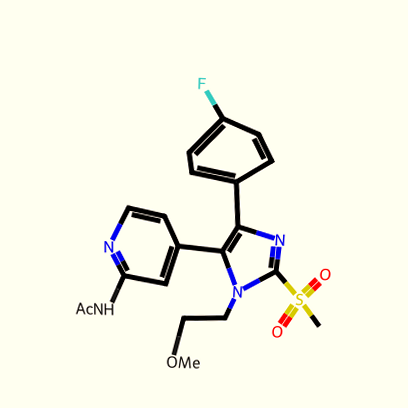 COCCn1c(S(C)(=O)=O)nc(-c2ccc(F)cc2)c1-c1ccnc(NC(C)=O)c1